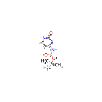 CC(C)(C)OC(=O)Nc1[c]c[nH]c(=O)n1